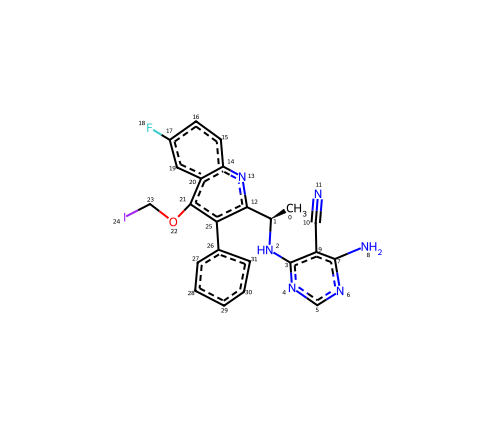 C[C@@H](Nc1ncnc(N)c1C#N)c1nc2ccc(F)cc2c(OCI)c1-c1ccccc1